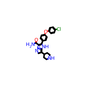 NC(=O)c1c(-c2ccc(Oc3ccc(Cl)cc3)cc2)[nH]c2c(C3CCNCC3)cnn12